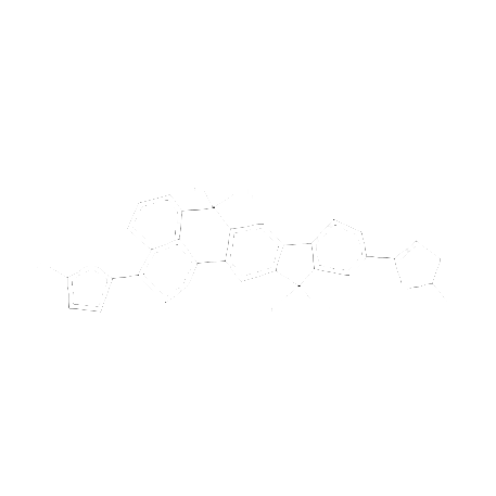 Cc1ccc(-c2ccc3c4c(cccc24)C(C)(C)c2cc4c(cc2-3)C(C)(C)c2cc(C3=CCC(C)S3)ccc2-4)s1